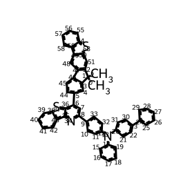 CC1(C)c2cc(-c3cc(-c4ccc(N(c5ccccc5)c5ccc(-c6ccccc6)cc5)cc4)nc4c3sc3ccccc34)ccc2-c2cc3c(cc21)sc1ccccc13